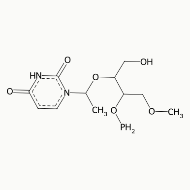 COCC(OP)C(CO)OC(C)n1ccc(=O)[nH]c1=O